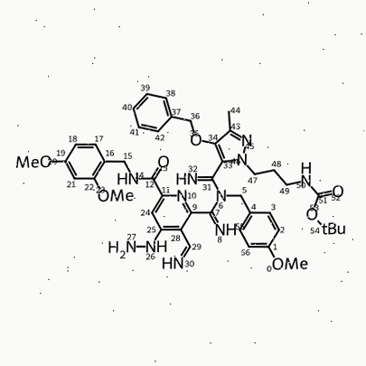 COc1ccc(CN(C(=N)c2nc(C(=O)NCc3ccc(OC)cc3OC)cc(NN)c2C=N)C(=N)c2c(OCc3ccccc3)c(C)nn2CCCNC(=O)OC(C)(C)C)cc1